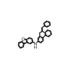 C(=C1\Cc2cc(Nc3ccc4oc5ccccc5c4c3)ccc2-c2ccccc21)/c1ccccc1